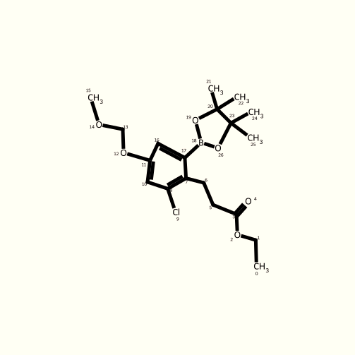 CCOC(=O)CCc1c(Cl)cc(OCOC)cc1B1OC(C)(C)C(C)(C)O1